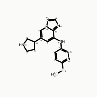 COc1ccc(Nc2cc(C3CCNC3)cn3ncnc23)nn1